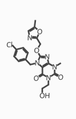 Cc1cnc(COc2nc3c(c(=O)n(CCO)c(=O)n3C)n2Cc2ccc(Cl)cc2)o1